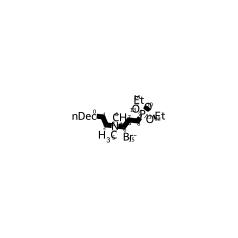 CCCCCCCCCCCC[N+](C)(C)CCCP(=O)(OCC)OCC.[Br-]